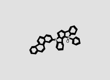 O=P1(c2ccccc2)c2ccccc2-c2ccc3c(c21)c1ccccc1n3-c1ccc2ccc3c4ccccc4ccc3c2c1